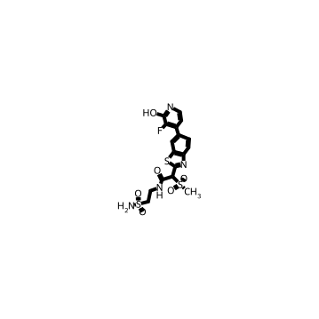 CS(=O)(=O)C(C(=O)NCCS(N)(=O)=O)c1nc2ccc(-c3ccnc(O)c3F)cc2s1